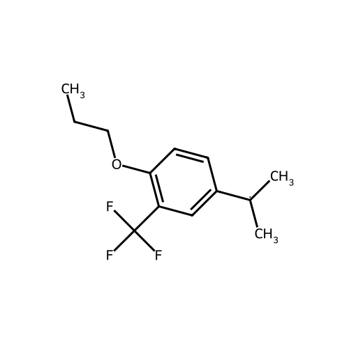 CCCOc1ccc([C](C)C)cc1C(F)(F)F